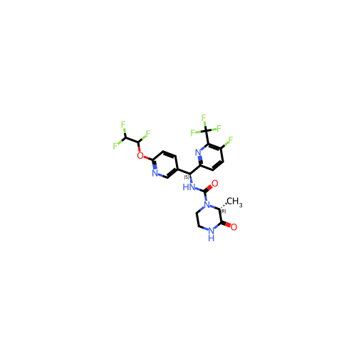 C[C@@H]1C(=O)NCCN1C(=O)N[C@@H](c1ccc(OC(F)C(F)F)nc1)c1ccc(F)c(C(F)(F)F)n1